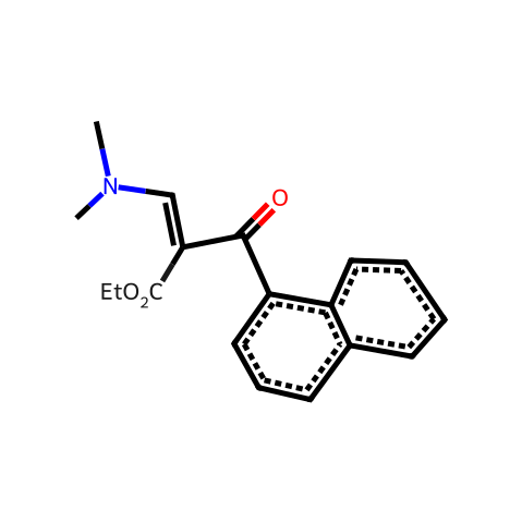 CCOC(=O)/C(=C\N(C)C)C(=O)c1cccc2ccccc12